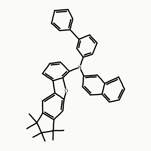 CC1(C)c2cc3oc4c(N(c5cccc(-c6ccccc6)c5)c5ccc6ccccc6c5)cccc4c3cc2C(C)(C)C1(C)C